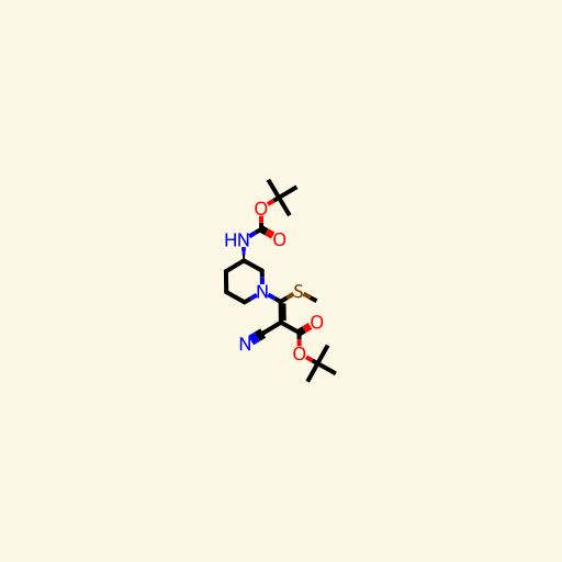 CS/C(=C(/C#N)C(=O)OC(C)(C)C)N1CCC[C@@H](NC(=O)OC(C)(C)C)C1